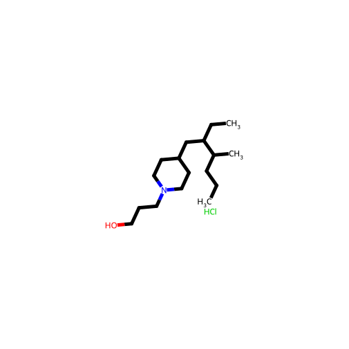 CCCC(C)C(CC)CC1CCN(CCCO)CC1.Cl